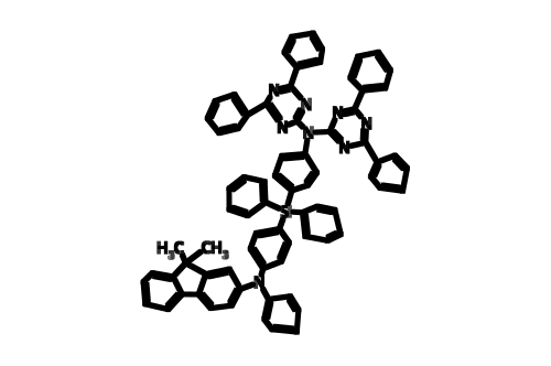 CC1(C)c2ccccc2-c2ccc(N(c3ccccc3)c3ccc([Si](c4ccccc4)(c4ccccc4)c4ccc(N(c5nc(-c6ccccc6)nc(-c6ccccc6)n5)c5nc(-c6ccccc6)nc(-c6ccccc6)n5)cc4)cc3)cc21